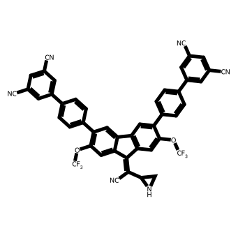 N#CC(=C1c2cc(OC(F)(F)F)c(-c3ccc(-c4cc(C#N)cc(C#N)c4)cc3)cc2-c2cc(-c3ccc(-c4cc(C#N)cc(C#N)c4)cc3)c(OC(F)(F)F)cc21)C1CN1